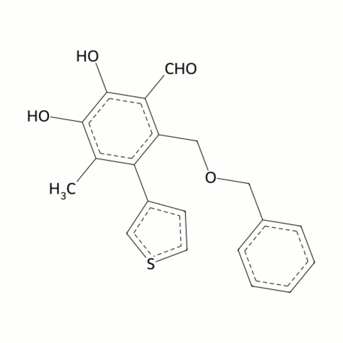 Cc1c(O)c(O)c(C=O)c(COCc2ccccc2)c1-c1ccsc1